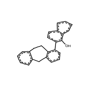 Oc1c(-c2cccc3c2CCc2ccccc2C3)ccc2ccccc12